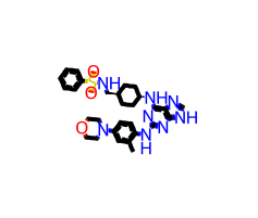 Cc1cc(N2CCOCC2)ccc1Nc1nc(N[C@H]2CC[C@H](CNS(=O)(=O)c3ccccc3)CC2)c2nc[nH]c2n1